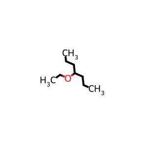 CCCC(CCC)OCC